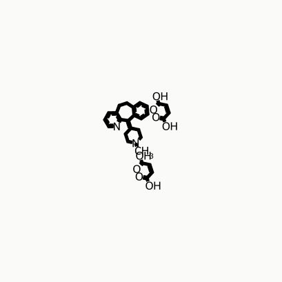 CN1CCC(=C2c3ccccc3CCc3cccnc32)CC1.O=C(O)/C=C\C(=O)O.O=C(O)/C=C\C(=O)O